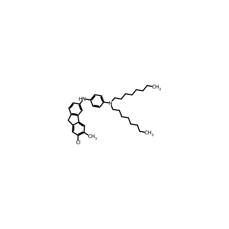 CCCCCCCCN(CCCCCCCC)c1ccc(Nc2ccc3c(c2)-c2cc(C)c(Cl)cc2C3)cc1